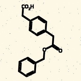 O=C(O)Cc1ccc(CC(=O)OCc2ccccc2)cc1